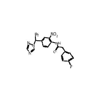 CC(C)C(c1ccc(NC(=O)Cc2ccc(F)cc2)c([N+](=O)[O-])c1)n1cncn1